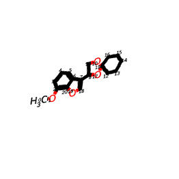 COc1cccc2c(C3COC4(CCCCC4)O3)coc12